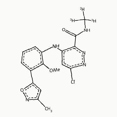 [2H]C([2H])([2H])NC(=O)c1nnc(Cl)cc1Nc1cccc(-c2cc(C)no2)c1OC